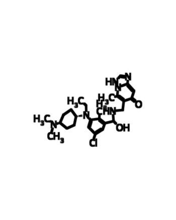 CCN(c1cc(Cl)cc(C(O)NCc2c(C)n3[nH]cnc3cc2=O)c1C)[C@H]1CC[C@H](N(C)C)CC1